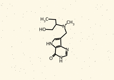 CCC(CO)N(C)Cc1c[nH]c2c(=O)[nH]cnc12